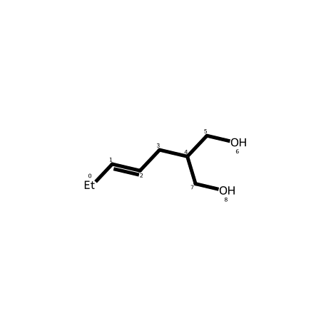 CCC=CCC(CO)CO